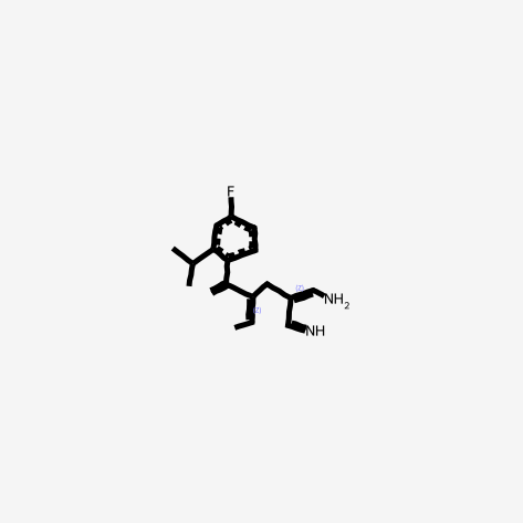 C=C(/C(=C\C)C/C(C=N)=C/N)c1ccc(F)cc1C(C)C